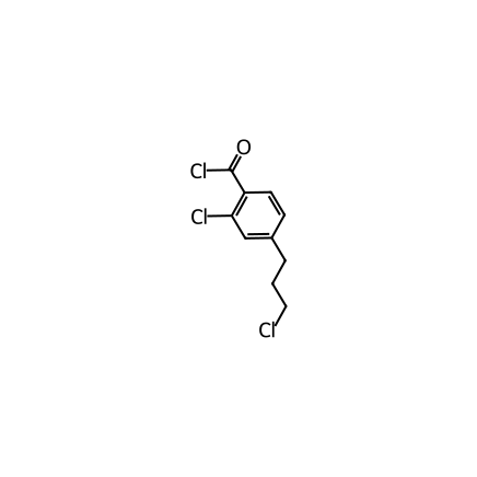 O=C(Cl)c1ccc(CCCCl)cc1Cl